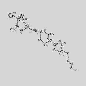 CCCCCc1ccc(C2CCC(C#Cc3cnc(Cl)c(Cl)c3)CC2)cc1